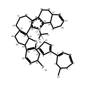 CC1=CC(C2=CC=CCC(C)C2)=C[C@H]1C(C)(C)n1c2c(c3c1C1CCC=CC1CC3)CCCC1=C2C2SC3=C(C=CC(F)C3)C2CC1